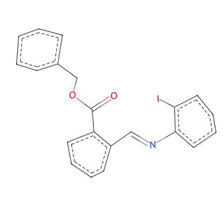 O=C(OCc1ccccc1)c1ccccc1C=Nc1ccccc1I